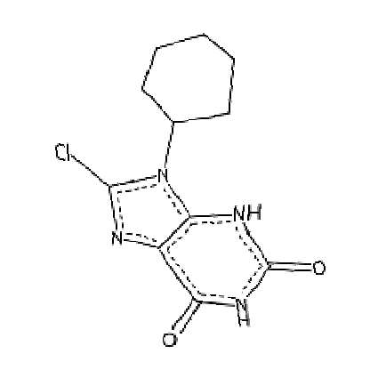 O=c1[nH]c(=O)c2nc(Cl)n(C3CCCCC3)c2[nH]1